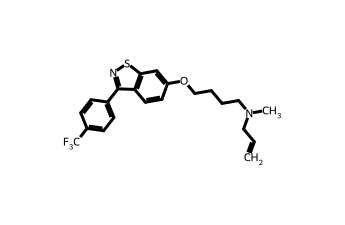 C=CCN(C)CCCCOc1ccc2c(-c3ccc(C(F)(F)F)cc3)nsc2c1